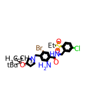 CCS(=O)(=O)c1ccc(Cl)cc1CNC(=O)c1cc(Br)c(CN2CC[C@@H](O[Si](C)(C)C(C)(C)C)C2)cc1N